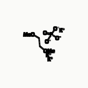 COCCOC.O=P([O-])([O-])[O-].[K+].[K+].[K+]